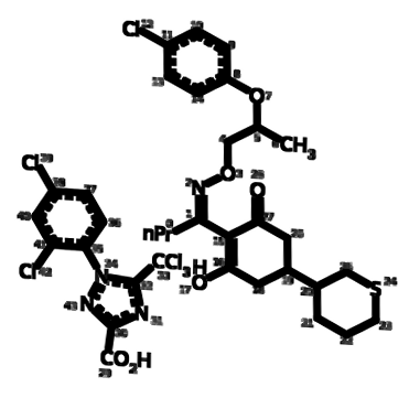 CCCC(=NOCC(C)Oc1ccc(Cl)cc1)C1=C(O)CC(C2CCCSC2)CC1=O.O=C(O)c1nc(C(Cl)(Cl)Cl)n(-c2ccc(Cl)cc2Cl)n1